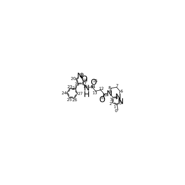 Cc1cc2n(n1)CCCN2C(=O)CCC(=O)Nc1oncc1-c1ccccc1